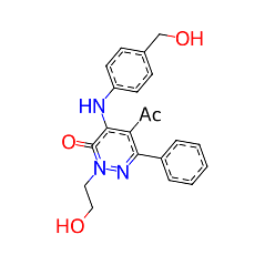 CC(=O)c1c(-c2ccccc2)nn(CCO)c(=O)c1Nc1ccc(CO)cc1